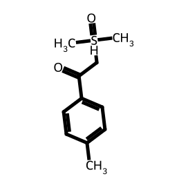 Cc1ccc(C(=O)C[SH](C)(C)=O)cc1